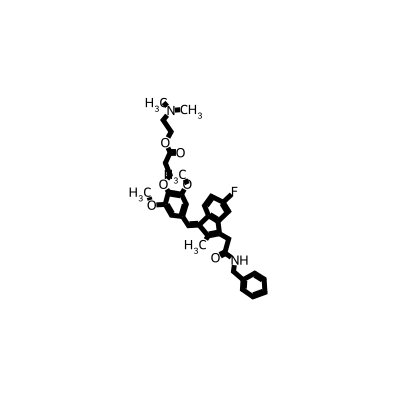 COc1cc(/C=C2/C(C)=C(CC(=O)NCc3ccccc3)c3cc(F)ccc32)cc(OC)c1OCCC(=O)OCCN(C)C